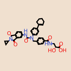 O=C(NC[C@@H](O)C(=O)O)c1ccc(CN(C(=O)Nc2ccc3c(c2)C(=O)N(C2CC2)C3=O)c2ccc(C3=CCCCC3)cc2)cc1